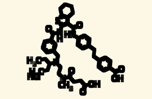 CCC(CC)N(CCN(C)C(=O)CCC(=O)O)Cc1cccc(C(=O)Nc2sc3c(c2C(=O)Nc2ccc(CCc4ccc(C(=O)O)cc4)cc2)CCCC3)c1.Cl